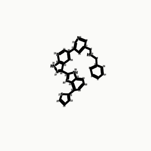 c1ccc(CNCc2cncc(-c3cnc4[nH]nc(-c5nc6c(-c7cccs7)cccc6[nH]5)c4c3)c2)cc1